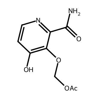 CC(=O)OCOc1c(O)ccnc1C(N)=O